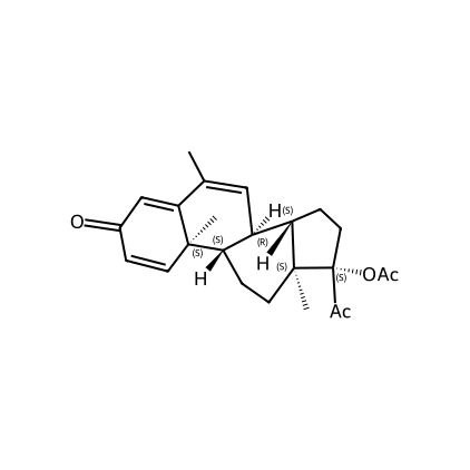 CC(=O)O[C@@]1(C(C)=O)CC[C@H]2[C@@H]3C=C(C)C4=CC(=O)C=C[C@]4(C)[C@H]3CC[C@@]21C